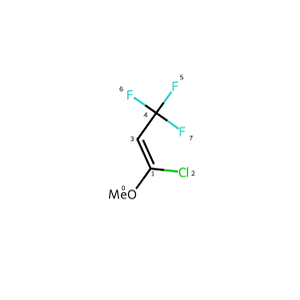 CO/C(Cl)=C/C(F)(F)F